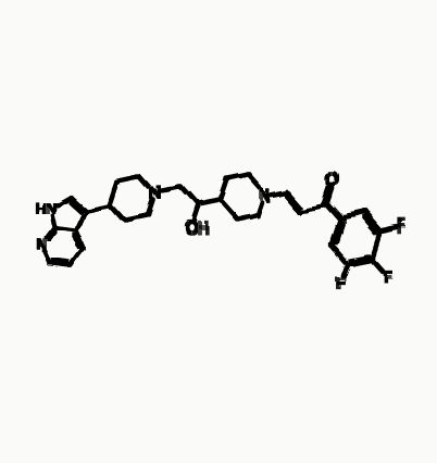 O=C(C=CN1CCC(C(O)CN2CCC(c3c[nH]c4ncccc34)CC2)CC1)c1cc(F)c(F)c(F)c1